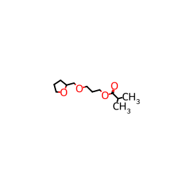 CC(C)C(=O)OCCCOCC1CCCO1